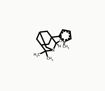 C[C@H]1N2CC3CC(CC1(c1cccn1C)C3)C2(C)C